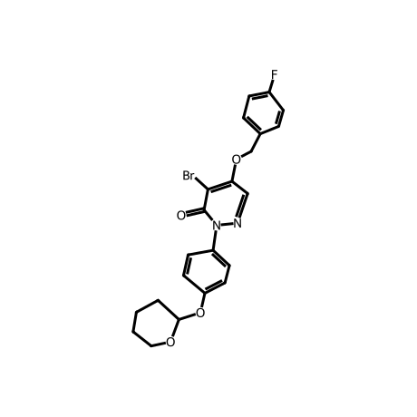 O=c1c(Br)c(OCc2ccc(F)cc2)cnn1-c1ccc(OC2CCCCO2)cc1